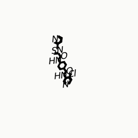 O=C(NC1CCC(C(=O)Nc2cnccc2Cl)CC1)c1csc(-c2cccnc2)n1